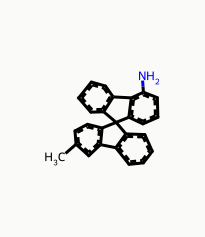 Cc1ccc2c(c1)-c1ccccc1C21c2ccccc2-c2c(N)cccc21